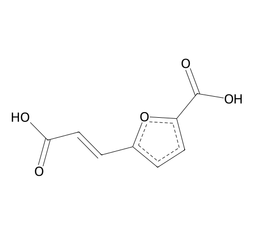 O=C(O)/C=C/c1ccc(C(=O)O)o1